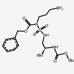 BCCCN(C(=O)OCc1ccccc1)S(=O)(=O)NC[C@@H](NC(=O)OC(C)(C)C)C(C)(C)C